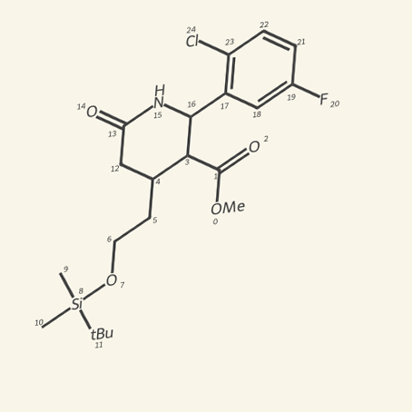 COC(=O)C1C(CCO[Si](C)(C)C(C)(C)C)CC(=O)NC1c1cc(F)ccc1Cl